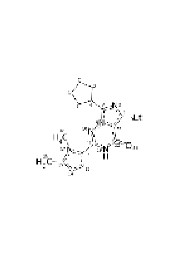 CCc1nc(C2CCCC2)n2nc(-c3ccc(C)n3C)[nH]c(=O)c12